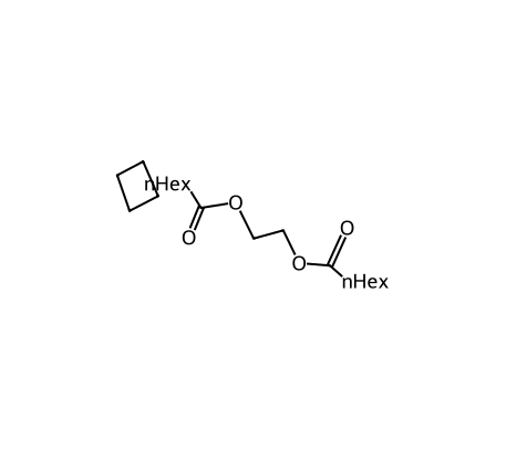 C1CCC1.CCCCCCC(=O)OCCOC(=O)CCCCCC